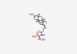 C[C@H](O)[C@H](NC(=O)CC[C@@H](C)[C@H]1CC[C@H]2[C@@H]3CC[C@@H]4C[C@H](O)CC[C@]4(C)[C@H]3CC[C@]12C)C(=O)O